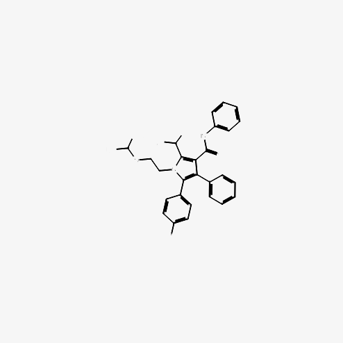 CC(C)NCCn1c(-c2ccc(F)cc2)c(-c2ccccc2)c(C(=O)Nc2ccccc2)c1C(C)C